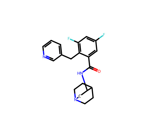 O=C(NC1CN2CCC1CC2)c1cc(F)cc(F)c1Cc1cccnc1